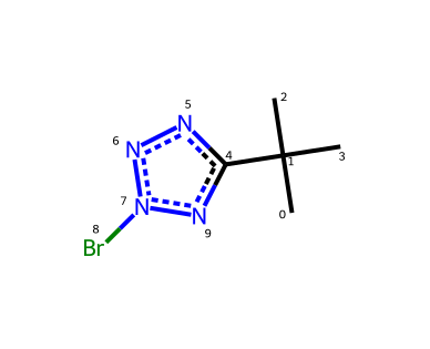 CC(C)(C)c1nnn(Br)n1